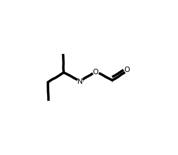 CCC(C)[N]O[C]=O